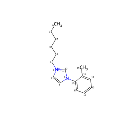 CCCCCC[n+]1ccn(-c2ccccc2C)c1